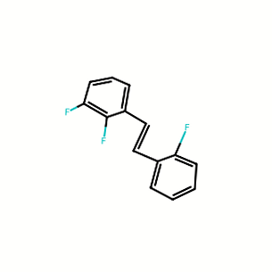 Fc1ccccc1/C=C/c1cccc(F)c1F